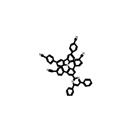 N#Cc1ccc(-c2ccc3c(c2)c2cc(-c4ccc(C#N)cc4)ccc2n3-c2c(-c3ccc(C#N)cc3)cc(-c3nc(-c4ccccc4)cc(-c4ccccc4)n3)cc2-c2ccc(C#N)cc2)cc1